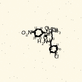 CN(C[C@H](N)c1ccc(Cl)cc1)S(=O)(=O)c1ccc([N+](=O)[O-])cc1.Cl